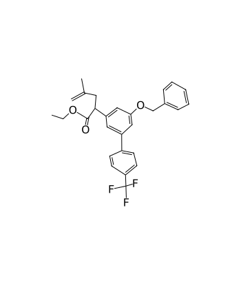 C=C(C)CC(C(=O)OCC)c1cc(OCc2ccccc2)cc(-c2ccc(C(F)(F)F)cc2)c1